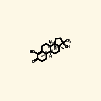 C[C@]12CCC(=O)C(O)=C1CC[C@@H]1[C@H]2CC[C@@]2(C)[C@H]1CCC2(O)C(F)(F)F